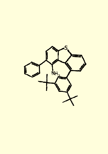 CC(C)(C)c1cc(-c2cccc3sc4ccc(-c5ccccc5)c(N)c4c23)cc(C(C)(C)C)c1